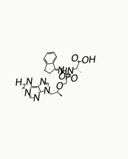 C[C@H](NP(=O)(CO[C@@H](C)Cn1cnc2c(N)ncnc21)O/N=C1\CCc2ccccc21)C(=O)O